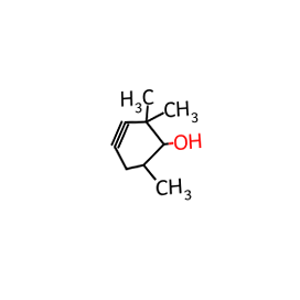 CC1CC#CC(C)(C)C1O